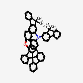 CC1(C)c2ccccc2-c2ccc(N(c3cccc(-c4cccc5c4C4(c6ccccc6-5)c5ccccc5-c5c4ccc4c5oc5ccccc54)c3)c3ccc4c(c3)C(C)(C)c3ccccc3-4)cc21